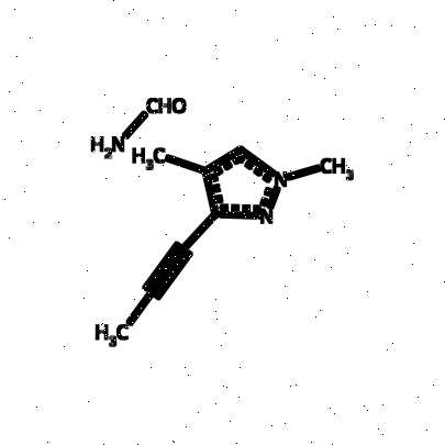 CC#Cc1nn(C)cc1C.NC=O